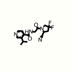 CC(C)c1cnccc1C(=O)NCC(=O)N1CC(F)(F)CC1C#N